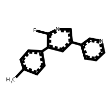 Cc1ccc(-c2cc(-c3cccnc3)cnc2F)cc1